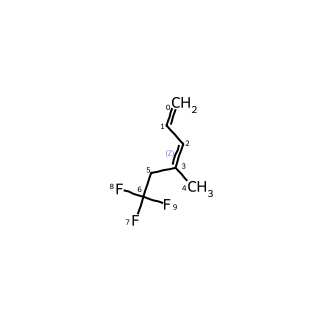 C=C/C=C(/C)CC(F)(F)F